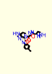 Cc1ccc2nc([C@@H]3c4nc[nH]c4CCN3C(=O)c3nnc(-c4cc[nH]n4)o3)oc2c1